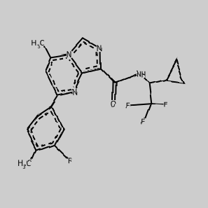 Cc1ccc(-c2cc(C)n3cnc(C(=O)NC(C4CC4)C(F)(F)F)c3n2)cc1F